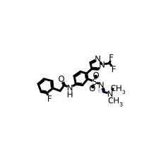 CN(C)/C=N/S(=O)(=O)c1cc(NC(=O)Cc2ccccc2F)ccc1-c1cnn(C(F)F)c1